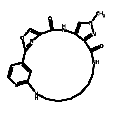 Cn1cc2c(n1)C(=O)NCCCCCCNc1cc(ccn1)-c1nc(co1)C(=O)N2